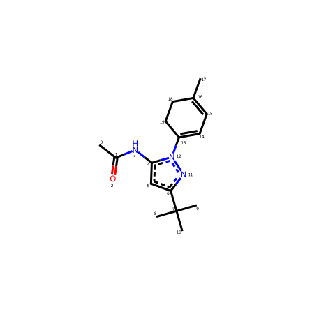 CC(=O)Nc1cc(C(C)(C)C)nn1C1=CC=C(C)CC1